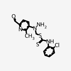 Cc1nc(C=O)ccc1N(N)CSC(=S)Nc1ccccc1Cl